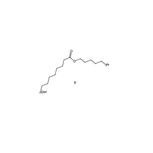 CCCCCCCCCCCCCCCCCC(=O)OCCCCCC(C)C.[K]